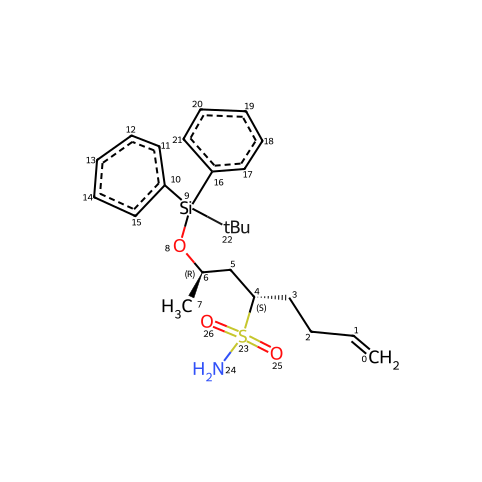 C=CCC[C@@H](C[C@@H](C)O[Si](c1ccccc1)(c1ccccc1)C(C)(C)C)S(N)(=O)=O